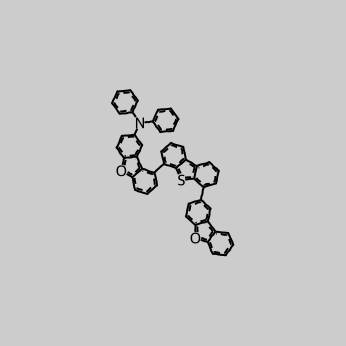 c1ccc(N(c2ccccc2)c2ccc3oc4cccc(-c5cccc6c5sc5c(-c7ccc8oc9ccccc9c8c7)cccc56)c4c3c2)cc1